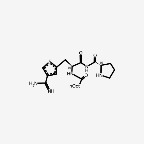 CCCCCCCCC(=O)N[C@@H](Cc1cc(C(=N)N)cs1)C(=O)NC(=O)[C@@H]1CCCN1